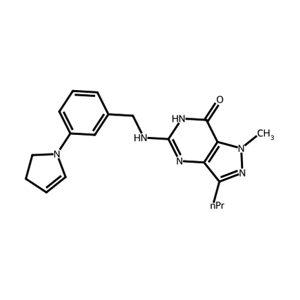 CCCc1nn(C)c2c(=O)[nH]c(NCc3cccc(N4C=CCC4)c3)nc12